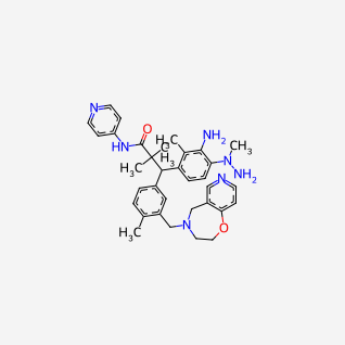 Cc1ccc(C(c2ccc(N(C)N)c(N)c2C)C(C)(C)C(=O)Nc2ccncc2)cc1CN1CCOc2ccncc2C1